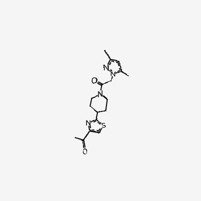 CC(=O)c1csc(C2CCN(C(=O)Cn3nc(C)cc3C)CC2)n1